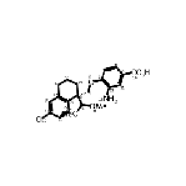 COC(OC)[C@]1(COc2ccc(C(=O)O)cc2N)CCCc2cc(Cl)ccc21